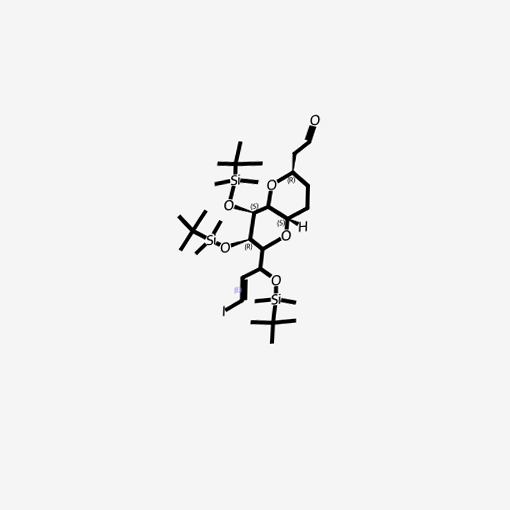 CC(C)(C)[Si](C)(C)OC(/C=C/I)C1O[C@H]2CC[C@H](CC=O)OC2[C@H](O[Si](C)(C)C(C)(C)C)[C@@H]1O[Si](C)(C)C(C)(C)C